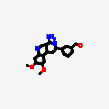 COc1cc2ncc3c(N)nc(-c4cccc(C=O)c4)cc3c2cc1OC